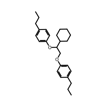 CCCc1ccc(OCC(Oc2ccc(CCC)cc2)C2CCCCC2)cc1